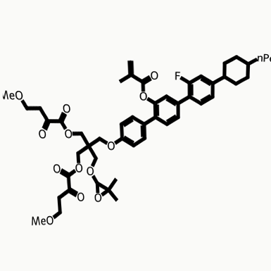 C=C(C)C(=O)Oc1cc(-c2ccc(C3CCC(CCCCC)CC3)cc2F)ccc1-c1ccc(OCC(COC(=O)C(=O)CCOC)(COC(=O)C(=O)CCOC)COC2OC2(C)C)cc1